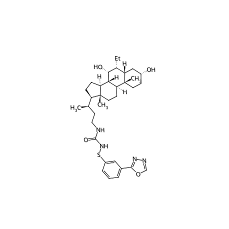 CC[C@H]1[C@@H](O)[C@@H]2[C@H](CC[C@]3(C)[C@@H]([C@H](C)CCNC(=O)NSc4cccc(-c5nnco5)c4)CC[C@@H]23)[C@@]2(C)CC[C@@H](O)C[C@@H]12